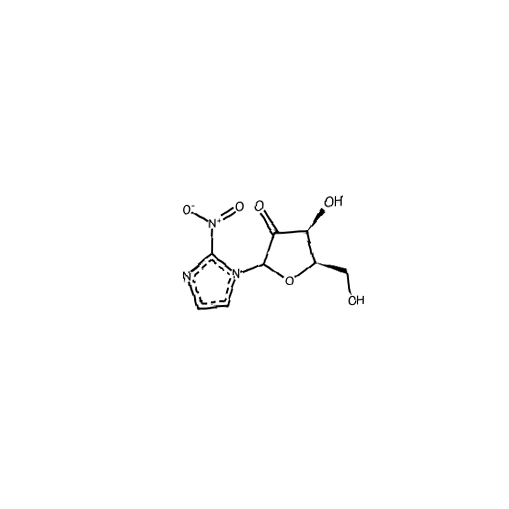 O=C1C(n2ccnc2[N+](=O)[O-])O[C@H](CO)[C@@H]1O